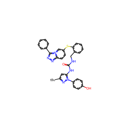 CC(C)(C)c1cc(NC(=O)NCc2ccccc2Sc2ccc3nnc(-c4ccccc4)n3c2)n(-c2ccc(O)cc2)n1